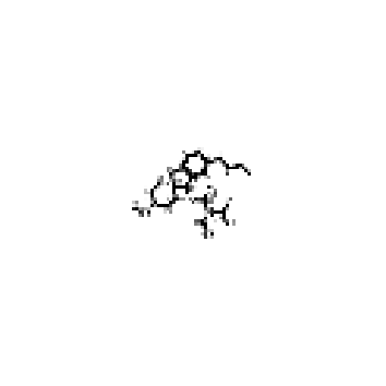 CCCCc1ccc2c(c1)C(NC(=O)N(C=O)C(C)C)[C@]1(CC[C@H](OC)CC1)C2